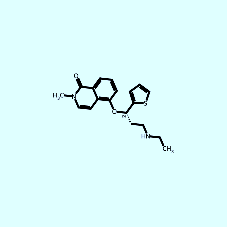 CCNCC[C@H](Oc1cccc2c(=O)n(C)ccc12)c1cccs1